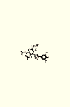 CC(=O)OC[C@H]1OC(N=[N+]=[N-])[C@H](F)[C@@H](n2cc(-c3cc(F)c(F)c(F)c3)nn2)[C@H]1OC(C)=O